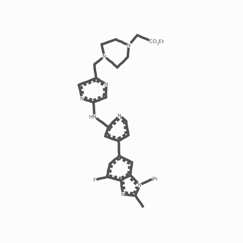 CCOC(=O)CN1CCN(Cc2cnc(Nc3cc(-c4cc(F)c5nc(C)n(C(C)C)c5c4)ccn3)cn2)CC1